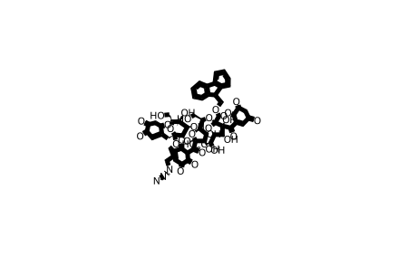 [N-]=[N+]=NCCCO[C@@]1(CC2=CC(=O)C(=O)CC2=O)O[C@H](CO)[C@@H](O)[C@H](O)[C@@H]1O[C@]1(C(=O)C2C(=O)C=CC(=O)C2=O)O[C@@H]([C@@H](CO)O[C@]2(C(=O)OCC3c4ccccc4-c4ccccc43)O[C@@H]([C@H](O)C(=O)O)[C@H](O)[C@]2(O)C(=O)C2=CC(=O)CC(=O)C2=O)[C@H](O)[C@H]1O